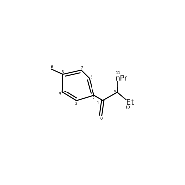 C=C(c1ccc(C)cc1)C(CC)CCC